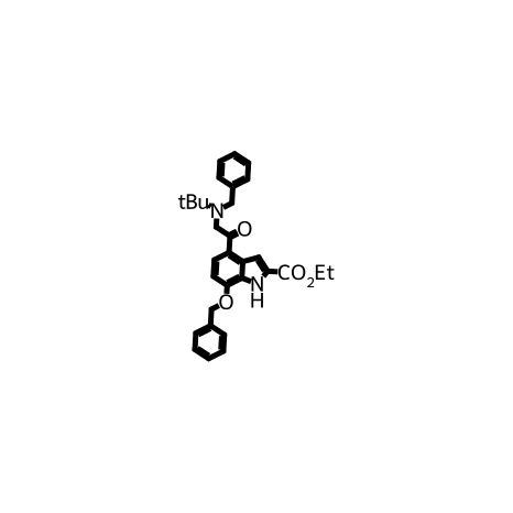 CCOC(=O)c1cc2c(C(=O)CN(Cc3ccccc3)C(C)(C)C)ccc(OCc3ccccc3)c2[nH]1